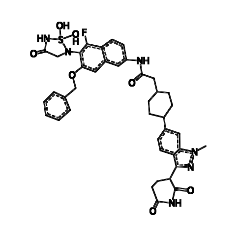 Cn1nc(C2CCC(=O)NC2=O)c2ccc(C3CCC(CC(=O)Nc4ccc5c(F)c(N6CC(=O)NS6(O)O)c(OCc6ccccc6)cc5c4)CC3)cc21